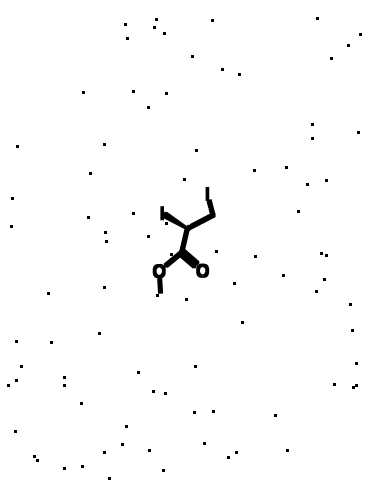 COC(=O)[C@@H](I)CI